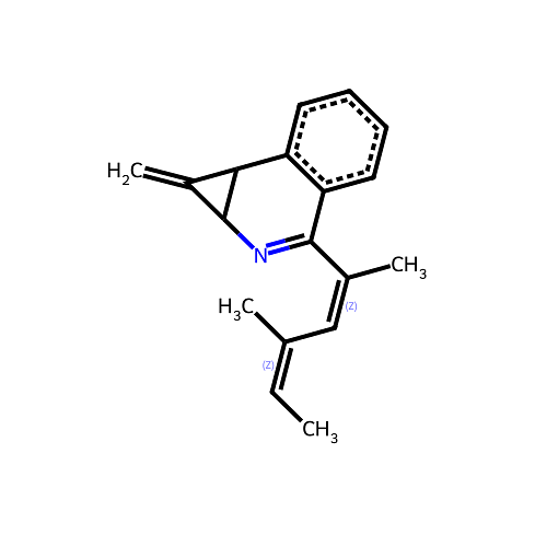 C=C1C2N=C(/C(C)=C\C(C)=C/C)c3ccccc3C12